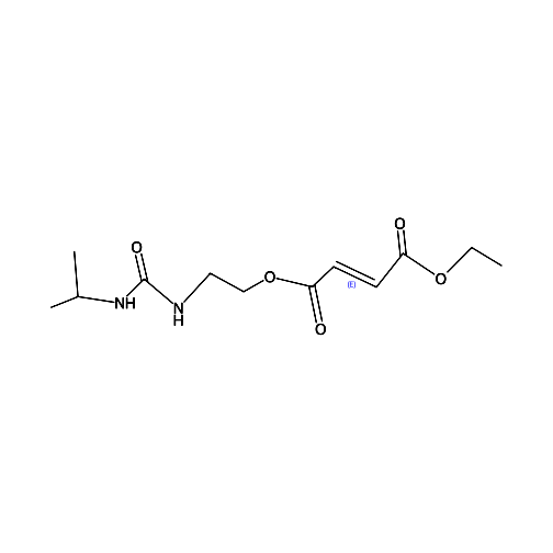 CCOC(=O)/C=C/C(=O)OCCNC(=O)NC(C)C